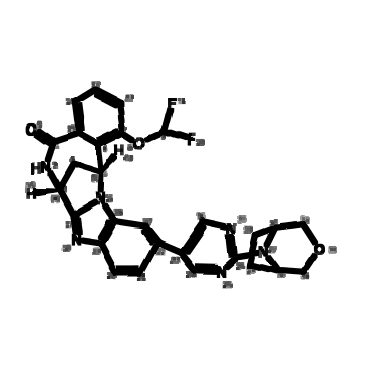 O=C1N[C@@H]2C[C@H](c3c(OC(F)F)cccc31)n1c2nc2ccc(-c3cnc(N4C5CCC4COC5)nc3)cc21